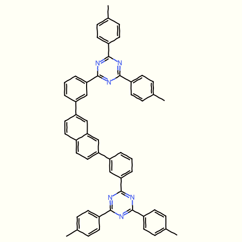 Cc1ccc(-c2nc(-c3ccc(C)cc3)nc(-c3cccc(-c4ccc5ccc(-c6cccc(-c7nc(-c8ccc(C)cc8)nc(-c8ccc(C)cc8)n7)c6)cc5c4)c3)n2)cc1